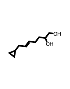 OCC(O)CC/C=C/CC1CC1